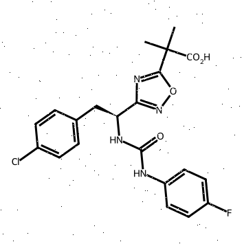 CC(C)(C(=O)O)c1nc([C@H](Cc2ccc(Cl)cc2)NC(=O)Nc2ccc(F)cc2)no1